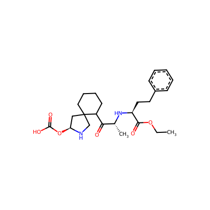 CCOC(=O)[C@H](CCc1ccccc1)N[C@H](C)C(=O)C1CCCCC12CN[C@@H](OC(=O)O)C2